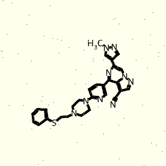 Cn1cc(-c2cn3ncc(C#N)c3c(-c3ccc(N4CCN(CCSc5ccccc5)CC4)nc3)n2)cn1